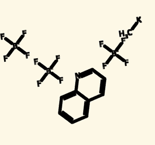 F[B-](F)(F)F.F[B-](F)(F)F.F[B-](F)(F)F.[CH3][K].c1ccc2ncccc2c1